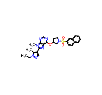 CCn1ncc(-c2nc3c(OC4CCN(S(=O)(=O)c5ccc6ccccc6c5)C4)ncnc3n2C)c1C